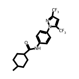 CC1CCC(C(=O)Nc2ccc(-n3nc(C(F)(F)F)cc3C(F)(F)F)cc2)CC1